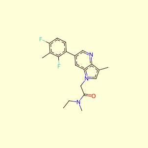 CCN(C)C(=O)Cn1cc(C)c2ncc(-c3ccc(F)c(C)c3F)cc21